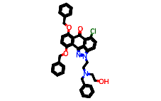 O=C1c2c(OCc3ccccc3)ccc(OCc3ccccc3)c2-c2nn(CCN(CCO)Cc3ccccc3)c3ccc(Cl)c1c23